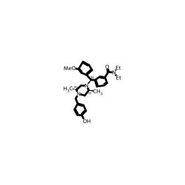 CCN(CC)C(=O)c1cccc([C@H](c2cccc(OC)c2)N2C[C@@H](C)N(Cc3ccc(O)cc3)C[C@@H]2C)c1